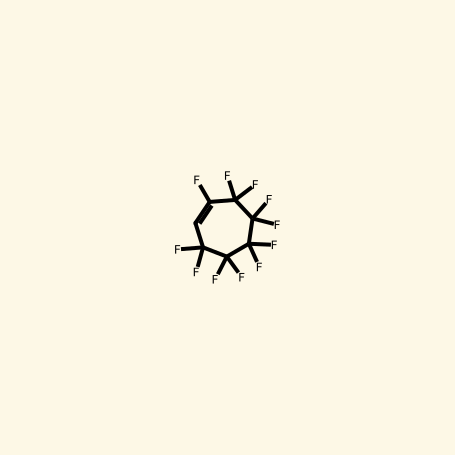 FC1=CC(F)(F)C(F)(F)C(F)(F)C(F)(F)C1(F)F